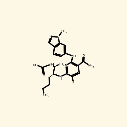 CCCC[C@@H](Nc1nc(Nc2ccc3cnn(C)c3c2)c(C(N)=O)cc1F)[C@H](C)NC(=O)O